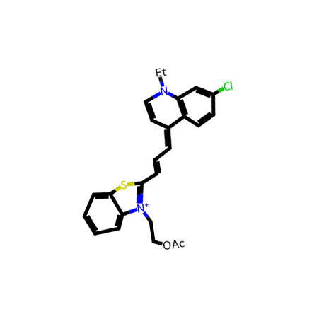 CCN1C=C/C(=C\C=C\c2sc3ccccc3[n+]2CCOC(C)=O)c2ccc(Cl)cc21